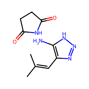 CC(C)=Cc1nn[nH]c1N.O=C1CCC(=O)N1